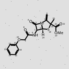 C=C1N2C(=O)C(NC(=O)COc3ccccc3)[C@H]2SC1(C)C(=O)OC